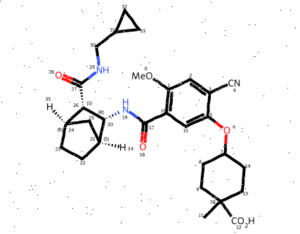 COc1cc(C#N)c(OC2CCC(C)(C(=O)O)CC2)cc1C(=O)N[C@@H]1[C@H]2CC[C@H](C2)[C@@H]1C(=O)NCC1CC1